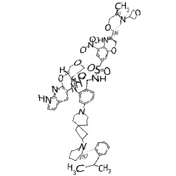 CC(C)c1ccccc1[C@@H]1CCCN1C1CC2(CCN(c3ccc(C(=O)NS(=O)(=O)c4cc5c(c([N+](=O)[O-])c4)N[C@@H]([C@H]4CN(C6COC6)[C@H](C)CO4)CO5)c(N4c5cc6cc[nH]c6nc5O[C@@H]5COCC[C@@H]54)c3)CC2)C1